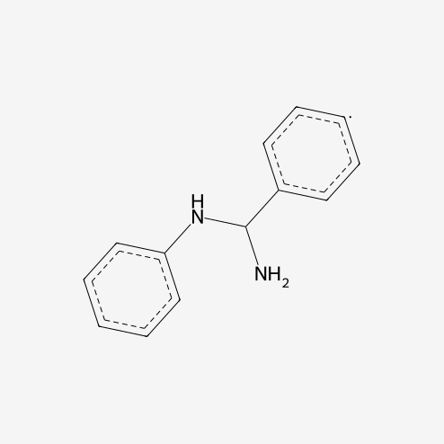 NC(Nc1ccccc1)c1cc[c]cc1